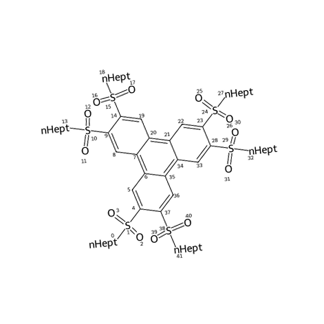 CCCCCCCS(=O)(=O)c1cc2c3cc(S(=O)(=O)CCCCCCC)c(S(=O)(=O)CCCCCCC)cc3c3cc(S(=O)(=O)CCCCCCC)c(S(=O)(=O)CCCCCCC)cc3c2cc1S(=O)(=O)CCCCCCC